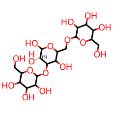 OCC1OC(OCC2OC(O)[C@@H](O)C(OC3OC(CO)C(O)C(O)C3O)C2O)C(O)C(O)C1O